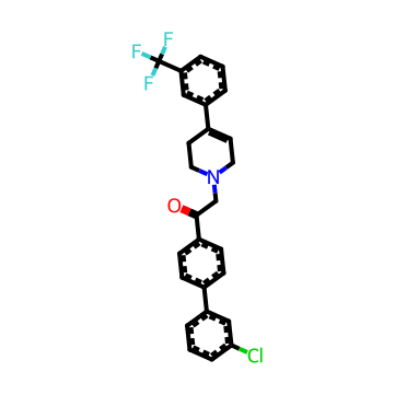 O=C(CN1CC=C(c2cccc(C(F)(F)F)c2)CC1)c1ccc(-c2cccc(Cl)c2)cc1